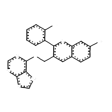 Cc1ccc2cc(CSc3ncnc4nc[nH]c34)c(-c3ccccc3C)nc2c1